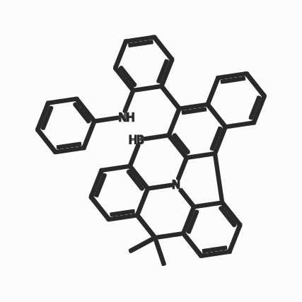 CC1(C)c2cccc3c2-n2c4c1cccc4c1c4ccccc4c(-c4ccccc4Nc4ccccc4)c(c12)B3